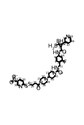 BC1(B)C(C(=O)Nc2ccc(CNC(=O)N3CCC(N4CCN(C(=O)CCSSc5ccc([N+](=O)[O-])cn5)CC4)CC3)c(F)c2)C1c1cccnc1